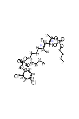 CCCCOP(=O)(O)O/C(C)=C/C(F)=C(\C)CCCCOP(=O)(OCCCC)Oc1ccc(Cl)cc1Cl